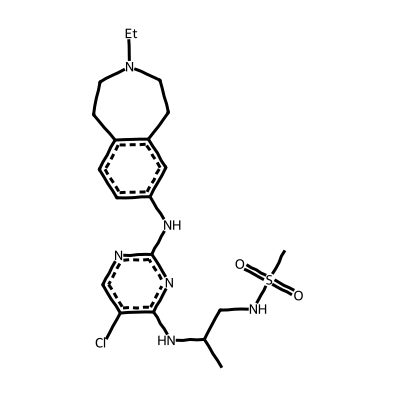 CCN1CCc2ccc(Nc3ncc(Cl)c(NC(C)CNS(C)(=O)=O)n3)cc2CC1